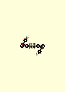 FC(F)(c1ccc(C23CC4CC(CC(c5ccc(Br)cc5)(C4)C2)C3)cc1)C(F)(F)C(F)(F)C(F)(F)c1ccc(C23CC4CC(CC(c5ccc(Br)cc5)(C4)C2)C3)cc1